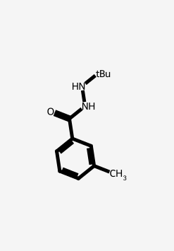 Cc1cccc(C(=O)NNC(C)(C)C)c1